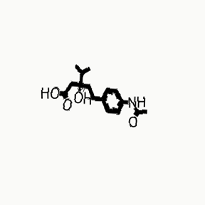 CC(=O)Nc1ccc(CC[C@](O)(CC(=O)O)C(C)C)cc1